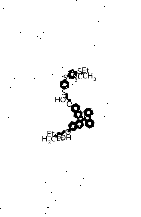 CCC(C)(CC)CC(O)COc1ccc2cc(C3(c4ccc5cc(OCC(O)CSc6ccc(Sc7ccc(SC(C)(C)CC)cc7)cc6)ccc5c4)c4ccccc4-c4ccccc43)ccc2c1